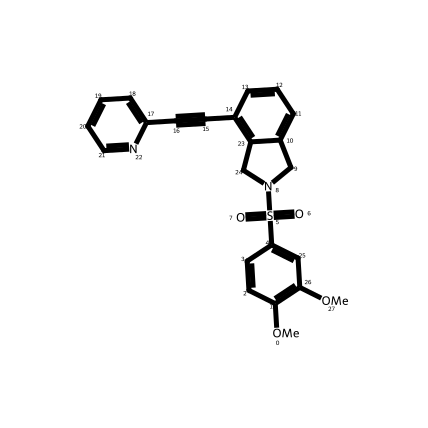 COc1ccc(S(=O)(=O)N2Cc3cccc(C#Cc4ccccn4)c3C2)cc1OC